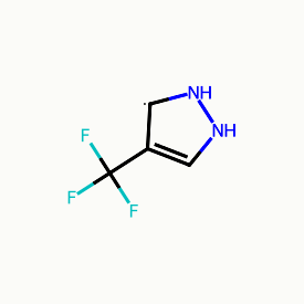 FC(F)(F)C1=CNN[CH]1